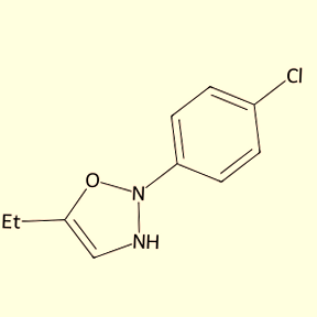 [CH2]CC1=CNN(c2ccc(Cl)cc2)O1